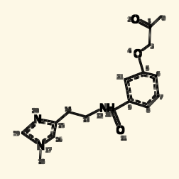 CC(=O)COc1cccc(C(=O)NCCc2cn(C)cn2)c1